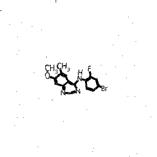 COc1cc2ncnc(Nc3ccc(Br)cc3F)c2cc1C